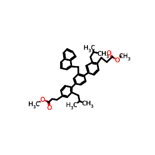 COC(=O)CCc1ccc(-c2ccc(-c3ccc(CCC(=O)OC)c(CC(C)C)c3)c(Cc3cccc4ccccc34)c2)c(CC(C)C)c1